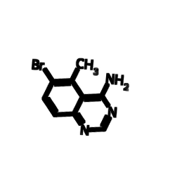 Cc1c(Br)ccc2ncnc(N)c12